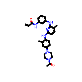 C=CC(=O)Nc1cccc(Nc2nc(Nc3ccc(N4CCN(C(C)=O)CC4)cc3C)ccc2C)c1